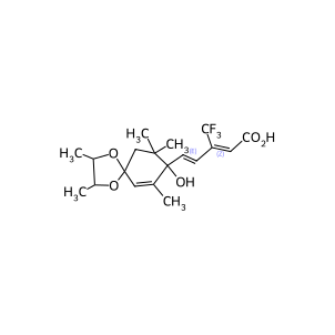 CC1=CC2(CC(C)(C)C1(O)/C=C/C(=C/C(=O)O)C(F)(F)F)OC(C)C(C)O2